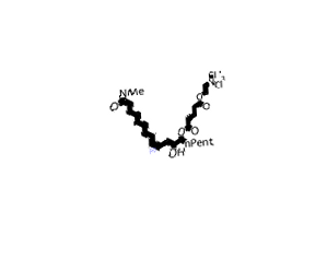 CCCCCC(OC(=O)CCCC(=O)OCCN(C)Cl)C(O)C/C=C\CCCCCCCC(=O)NC